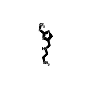 NCCNCc1cnc(SC(F)(F)F)s1